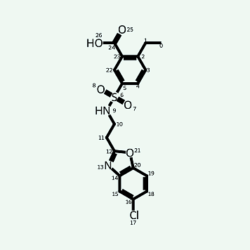 CCc1ccc(S(=O)(=O)NCCc2nc3cc(Cl)ccc3o2)cc1C(=O)O